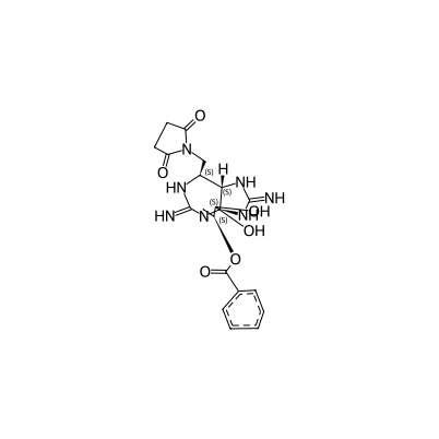 N=C1N[C@H]2[C@H](CN3C(=O)CCC3=O)NC(=N)N3C[C@H](OC(=O)c4ccccc4)C(O)(O)[C@]23N1